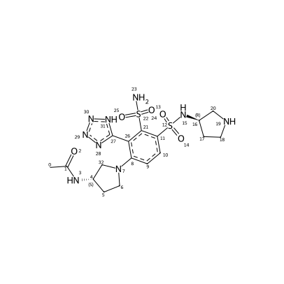 CC(=O)N[C@H]1CCN(c2ccc(S(=O)(=O)N[C@@H]3CCNC3)c(S(N)(=O)=O)c2-c2nnn[nH]2)C1